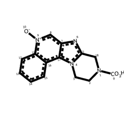 O=C(O)N1CCn2c(nc3c[n+]([O-])c4ccccc4c32)C1